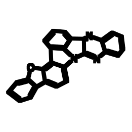 c1ccc2nc3c(nc2c1)c1cccc2c4c5oc6ccccc6c5ccc4n3c12